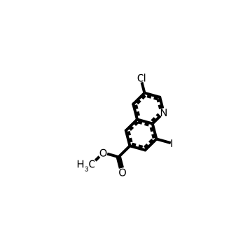 COC(=O)c1cc(I)c2ncc(Cl)cc2c1